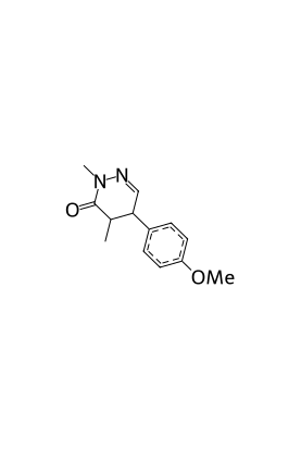 COc1ccc(C2C=NN(C)C(=O)C2C)cc1